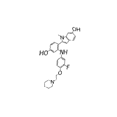 Cn1c(-c2ccc(O)cc2Nc2ccc(OCCN3CCCCC3)c(F)c2)cc2ccc(O)cc21